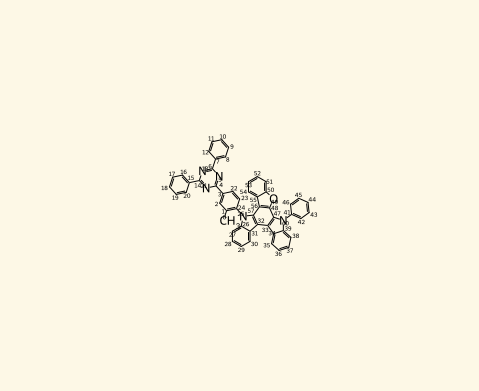 Cc1cc(-c2nc(-c3ccccc3)nc(-c3ccccc3)n2)ccc1-n1c2ccccc2c2c3c4ccccc4n(-c4ccccc4)c3c3oc4ccccc4c3c21